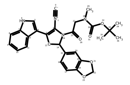 [C-]#[N+]C1=C(c2c[nH]c3ccccc23)OC(c2ccc3c(c2)OCO3)N1C(=O)CN(C)C(=O)OC(C)(C)C